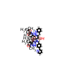 CC(=O)N[C@H](C(=O)NN(Cc1ccc(-c2ccccn2)cc1)C[C@H](O)[C@H](Cc1ccccc1)NC(=O)[C@@H](NC(=O)OC(C)(C)C)C(C)(C)C)C(C)(C)C